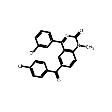 Cn1c(=O)nc(-c2cccc(Cl)c2)c2cc(C(=O)c3ccc(Cl)cc3)ccc21